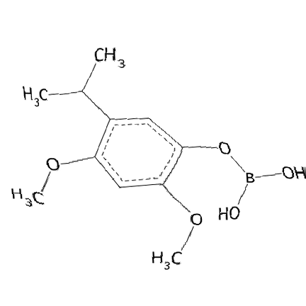 COc1cc(OC)c(C(C)C)cc1OB(O)O